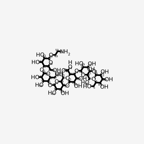 C[C@@H](OC1OC(CO)C(O)C(O)C1O)C(CO)OC(OC1C(C(=O)O)OC(OC2C(CO)OC(OC3C(CO)OC(OC4C(CO)OC(OCCN)C(O)C4O)C(O)C3O)C(O)C2O)C(O)C1O)[C@@H](O)CO